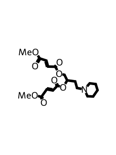 COC(=O)/C=C/C(=O)OCC(CCN1CCCCC1)OC(=O)/C=C/C(=O)OC